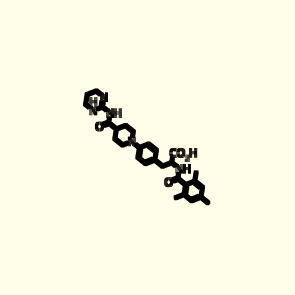 Cc1cc(C)c(C(=O)NC(Cc2ccc(N3CCC(C(=O)NC4=NCCCN4)CC3)cc2)C(=O)O)c(C)c1